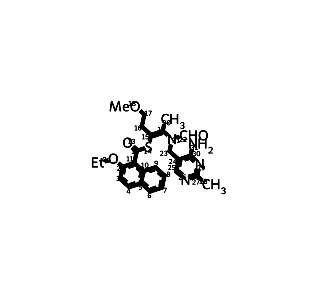 CCOc1ccc2ccccc2c1C(=O)S/C(CCOC)=C(/C)N(C=O)Cc1cnc(C)nc1N